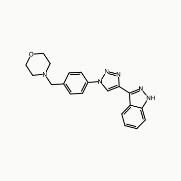 c1ccc2c(-c3cn(-c4ccc(CN5CCOCC5)cc4)nn3)n[nH]c2c1